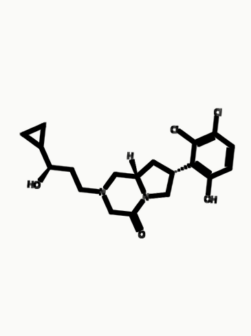 O=C1CN(CC[C@@H](O)C2CC2)C[C@@H]2C[C@H](c3c(O)ccc(Cl)c3Cl)CN12